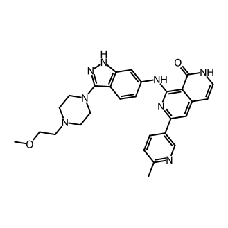 COCCN1CCN(c2n[nH]c3cc(Nc4nc(-c5ccc(C)nc5)cc5cc[nH]c(=O)c45)ccc23)CC1